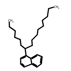 CCCCCCCCCC(CCCCCC)c1cccc2ccccc12